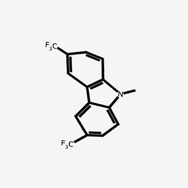 Cn1c2ccc(C(F)(F)F)cc2c2cc(C(F)(F)F)ccc21